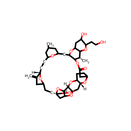 C=C1CC2CC[C@@]34CC5OC6C(O3)[C@H]3OC(CCC3O[C@H]6[C@H]5O4)CC(=O)OC3C(CC4CC(C)CC(CC[C@@H]1O2)O4)OC1CC(O)C(CCO)OC1[C@@H]3C